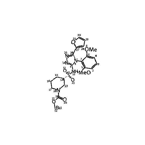 COc1cccc(OC)c1-n1c(NS(=O)(=O)[C@H]2CCCN(C(=O)OC(C)(C)C)C2)nnc1-c1ccco1